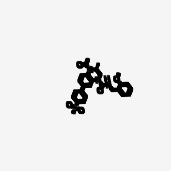 COc1ccccc1CNC(=O)N1C[C@H](C)N(C(C)=O)c2ccc(-c3ccc(S(C)(=O)=O)cc3)cc21